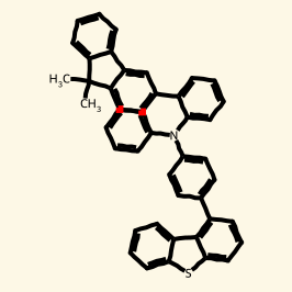 CC1(C)c2ccccc2-c2cc(-c3ccccc3N(c3ccccc3)c3ccc(-c4cccc5sc6ccccc6c45)cc3)ccc21